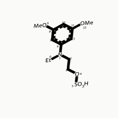 CCN(CCOS(=O)(=O)O)c1cc(OC)cc(OC)c1